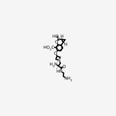 C[C@](N)(CN1CC(Oc2ccc3c(c2C(=O)O)OB(O)[C@H]2C[C@@H]32)C1)C(=O)NCCN